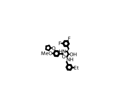 CCc1cccc(CNC[C@H](O)[C@H](Cc2cc(F)cc(F)c2)NC(=O)c2ccc(OC)c(OC3CCCC3)c2)c1